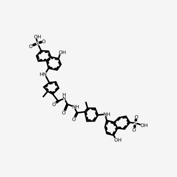 Cc1cc(Nc2ccc(O)c3cc(S(=O)(=O)O)ccc23)ccc1C(=O)NC(=O)NC(=O)c1ccc(Nc2ccc(O)c3cc(S(=O)(=O)O)ccc23)cc1C